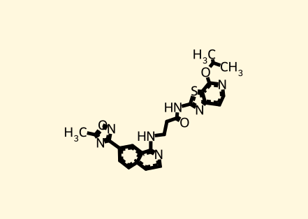 Cc1nc(-c2ccc3ccnc(NCCC(=O)Nc4nc5ccnc(OC(C)C)c5s4)c3c2)no1